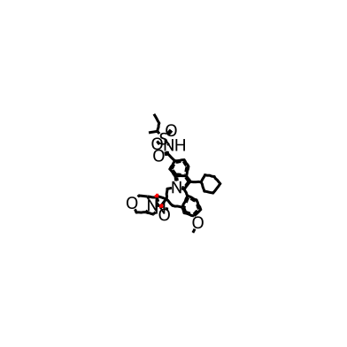 CCC(C)S(=O)(=O)NC(=O)c1ccc2c(C3CCCCC3)c3n(c2c1)CC(C)(C(=O)N1C2COCC1CN(C)C2)Cc1cc(OC)ccc1-3